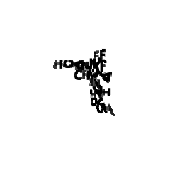 C[C@H]1[C@H](O)CN1c1nc(N2C[C@@H]3[C@@H](CC(=O)O)[C@@H]3C2)c(C2CC2)c(C(F)(F)F)n1